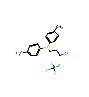 Cc1ccc([S+](CCCCl)c2ccc(C)cc2)cc1.F[B-](F)(F)F